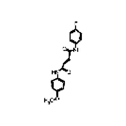 COc1ccc(NC(=O)C=CC(=O)Nc2ccc(F)cc2)cc1